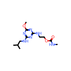 CNC(=O)OCCNc1nc(NCC(C)C)nc(OC)n1